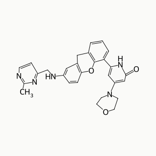 Cc1nccc(CNc2ccc3c(c2)Cc2cccc(-c4cc(N5CCOCC5)cc(=O)[nH]4)c2O3)n1